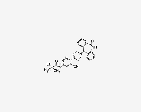 CCC(C)(C)C(=O)Nc1cnc(N2CCN(C3c4ccccc4NC(=O)c4ccccc43)CC2)c(C#N)c1